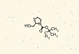 CC(C)(C)OC(=O)N1CCS[C@@H]1CO